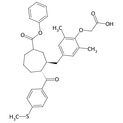 CSc1ccc(C(=O)[C@@H]2CCCC(C(=O)Oc3ccccc3)C[C@H]2Cc2cc(C)c(OCC(=O)O)c(C)c2)cc1